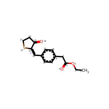 CCOC(=O)Cc1ccc(/C=C2/SCCC2=O)cc1